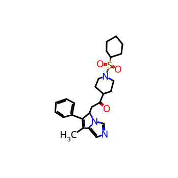 CC1=C(c2ccccc2)C(CC(=O)C2CCN(S(=O)(=O)C3CCCCC3)CC2)n2cncc21